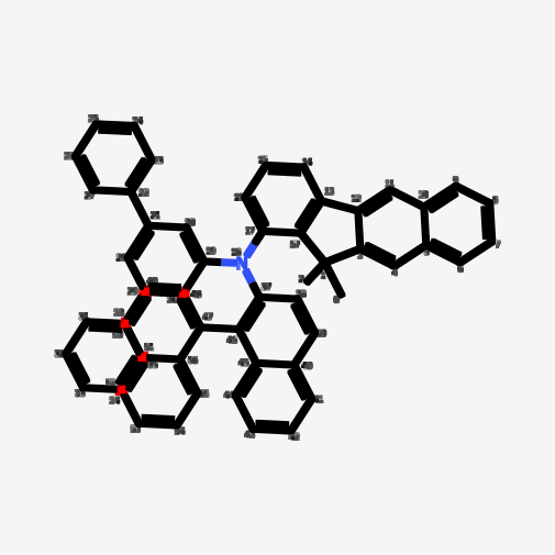 CC1(C)c2cc3ccccc3cc2-c2cccc(N(c3cc(-c4ccccc4)cc(-c4ccccc4)c3)c3ccc4ccccc4c3-c3cccc4ccccc34)c21